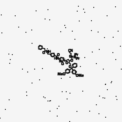 COc1ccc(C(OCC2OC(n3ccc(NC(=O)c4ccc(CNC(=O)Cc5ccccc5)cc4)nc3=O)CC2OP(OCCC#N)N(C(C)C)C(C)C)(c2ccccc2)c2ccc(OC)cc2)cc1